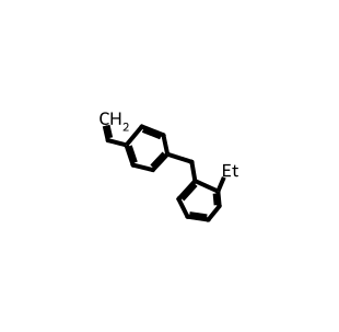 C=Cc1ccc(Cc2ccccc2CC)cc1